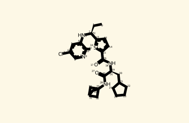 CC[C@H](Nc1cc(Cl)cnc1C)c1ccc(C(=O)N[C@@H](CC2CCCC2)C(=O)NC23CC(C2)C3)s1